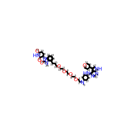 CN(CCOCCOCCOCCOCCCc1cccc2c1n(C)c(=O)n2C1CCC(=O)NC1=O)C1CCC(Nc2ncnc3[nH]cc(C4CCOCC4)c23)CC1